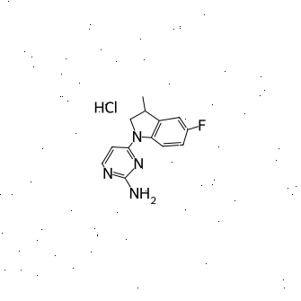 CC1CN(c2ccnc(N)n2)c2ccc(F)cc21.Cl